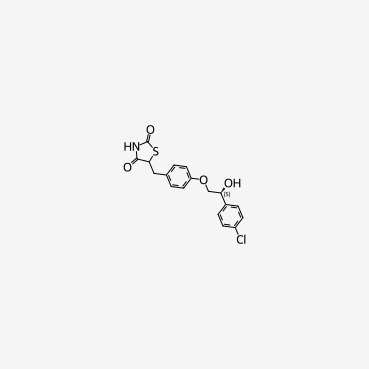 O=C1NC(=O)C(Cc2ccc(OC[C@@H](O)c3ccc(Cl)cc3)cc2)S1